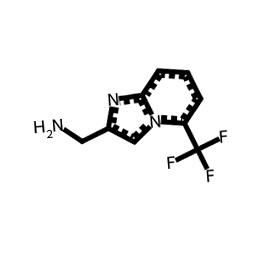 NCc1cn2c(C(F)(F)F)cccc2n1